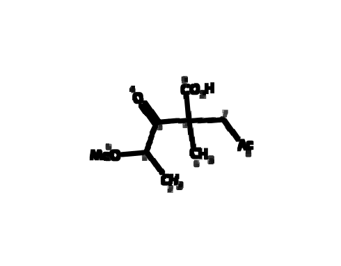 COC(C)C(=O)C(C)(CC(C)=O)C(=O)O